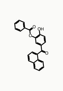 O=C(Oc1cc(C(=O)c2cccc3ccccc23)ccc1O)c1ccccc1